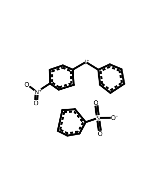 O=S(=O)([O-])c1ccccc1.O=[N+]([O-])c1ccc([I+]c2ccccc2)cc1